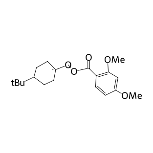 COc1ccc(C(=O)OO[C]2CCC(C(C)(C)C)CC2)c(OC)c1